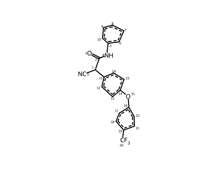 N#CC(C(=O)Nc1ccccc1)c1ccc(Oc2ccc(C(F)(F)F)cc2)cc1